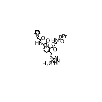 CCCC(=O)NCOC(=O)C1=C(CSc2nnnn2C)CSC2C(NC(=O)Cn3cccc3)C(=O)N12